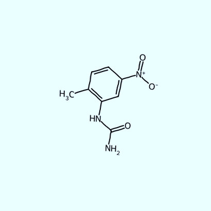 Cc1ccc([N+](=O)[O-])cc1NC(N)=O